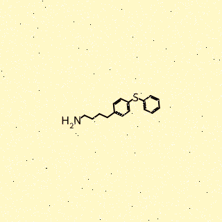 NCCCCc1ccc(Sc2ccccc2)cc1